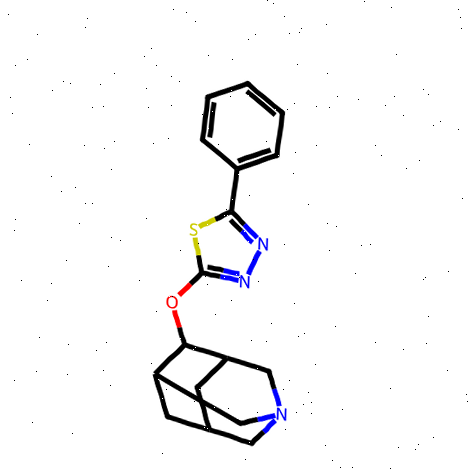 c1ccc(-c2nnc(OC3C4CC5CC3CN(C5)C4)s2)cc1